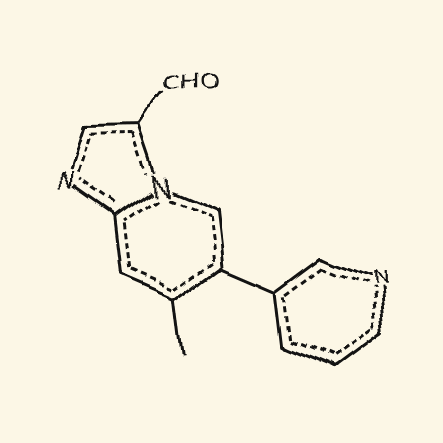 Cc1cc2ncc(C=O)n2cc1-c1cccnc1